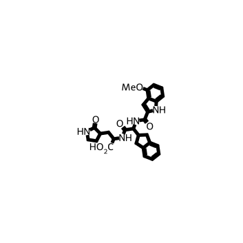 COc1cccc2[nH]c(C(=O)NC(C(=O)NC(CC3CCNC3=O)C(=O)O)C3Cc4ccccc4C3)cc12